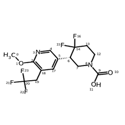 COc1ncc([C@H]2CN(C(=O)O)CCC2(F)F)cc1CC(F)(F)F